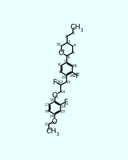 CCCC1CCC(c2ccc(CC(F)COc3ccc(OCC)cc3F)c(F)c2)OC1